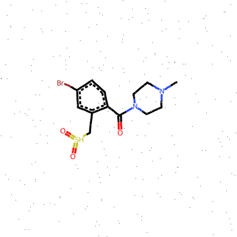 CN1CCN(C(=O)c2ccc(Br)cc2C[SH](=O)=O)CC1